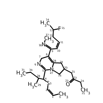 C/C=C\SC(C1=NCC(C(/C=C\CC(C)F)=N/C)=C2CC(CC(=O)CC)CN12)C(C)CC